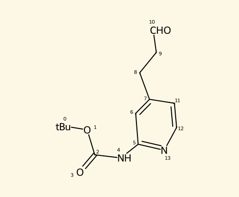 CC(C)(C)OC(=O)Nc1cc(CCC=O)ccn1